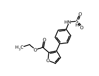 CCOC(=O)c1occc1-c1ccc(N[SH](=O)=O)cc1